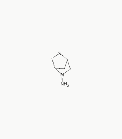 NN1CC2CC1CS2